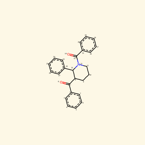 O=C(c1ccccc1)C1CCCN(C(=O)c2ccccc2)C1c1ccccc1